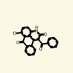 O=C(c1ccccc1)c1c2c3c(c(Cl)ccc3[nH]c1=O)C(=O)c1ccccc1-2